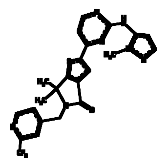 Cn1nccc1Nc1nccc(-c2cc3c(s2)C(C)(C)N(Cc2ccnc(C(F)(F)F)c2)C3=O)n1